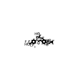 O=C(Nc1ccc(C(O)(C(F)(F)F)C(F)(F)F)cc1)C1c2ccc(S(=O)(=O)CC3(O)CC3)cc2CN1C(=O)CO